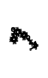 C[C@@H]1CCCN1CCCOc1ccc(-c2ccc(=O)n(Cc3ccccc3)n2)cc1